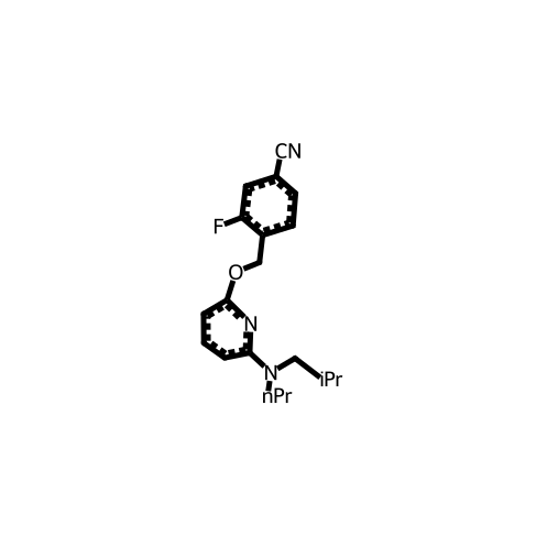 CCCN(CC(C)C)c1cccc(OCc2ccc(C#N)cc2F)n1